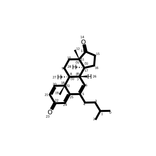 CC(C)CCC1=C[C@@H]2[C@H](CC[C@]3(C)C(=O)CC[C@@H]23)[C@@]2(C)C=CC(=O)C=C12